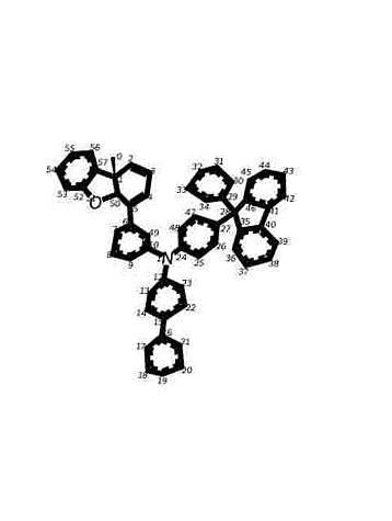 C[C@@]12C=CC=C(c3cccc(N(c4ccc(-c5ccccc5)cc4)c4ccc(C5(c6ccccc6)c6ccccc6-c6ccccc65)cc4)c3)C1Oc1ccccc12